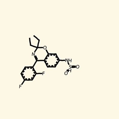 CCC1(CC)N=C(c2ccc(F)cc2F)c2ccc(N[SH](=O)=O)cc2O1